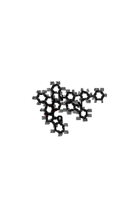 c1ccc(-c2ccc(-c3ccc(N(c4ccc(-c5cccc6c5oc5ccccc56)cc4)c4ccccc4-c4cc5ccccc5c5ccccc45)cc3)c(-n3c4ccccc4c4ccccc43)c2)cc1